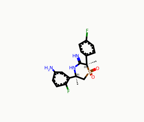 C[C@@]1(c2ccc(F)cc2)C(=N)N[C@](C)(c2cc(N)ccc2F)CS1(=O)=O